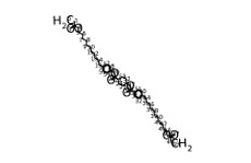 C=CC(=O)OCCCCCCCCCCCc1ccc(OC(=O)C2CCC(OC(=O)c3ccc(CCCCCCCCCCCOC(=O)C=C)cc3)CC2)cc1